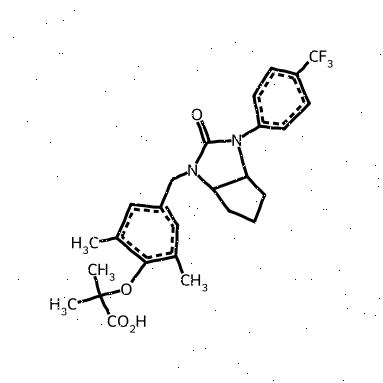 Cc1cc(CN2C(=O)N(c3ccc(C(F)(F)F)cc3)C3CCCC32)cc(C)c1OC(C)(C)C(=O)O